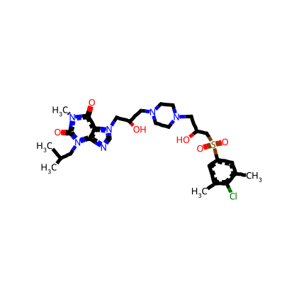 Cc1cc(S(=O)(=O)CC(O)CN2CCN(CC(O)Cn3cnc4c3c(=O)n(C)c(=O)n4CC(C)C)CC2)cc(C)c1Cl